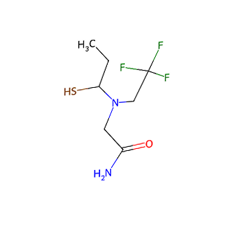 CCC(S)N(CC(N)=O)CC(F)(F)F